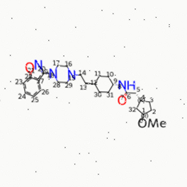 CO[C@@H]1CC[C@@H](CC(=O)N[C@H]2CC[C@H](CCN3CCN(c4noc5ccccc45)CC3)CC2)C1